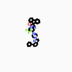 O=C(NCC(F)(F)F)C1(CCCCN2CCN(c3ccc4cccc(-c5ccccc5)c4n3)CC2)c2ccccc2-c2ccccc21